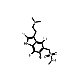 [2H]c1[nH]c2c([2H])c([2H])c(CS(=O)(=O)NC)c([2H])c2c1CCN(C)C